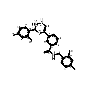 C=C(NCc1ccc(C)cc1C)c1cccc(C2=CNNC(c3ccc(C)cc3C)N2)c1